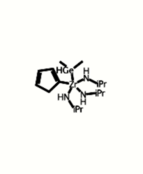 CC(C)[NH][Zr]([NH]C(C)C)([NH]C(C)C)([C]1=CC=CC1)[GeH]([CH3])[CH3]